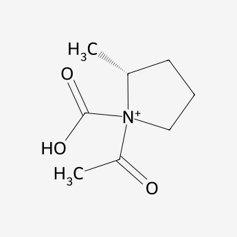 CC(=O)[N+]1(C(=O)O)CCC[C@H]1C